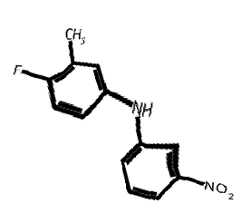 Cc1cc(Nc2cccc([N+](=O)[O-])c2)ccc1F